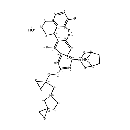 O[C@@H]1Cc2ccc(F)c(F)c2C(c2c(F)cc3c(N4CC5CCC(C4)N5)nc(OCC4(CN5CCC6(CC6)C5)CC4)nc3c2F)C1